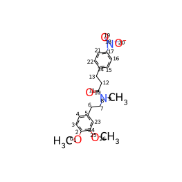 COc1ccc(CCN(C)C(=O)CCc2ccc([N+](=O)[O-])cc2)cc1OC